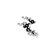 CCOC(=O)Cc1ccc(F)cc1OCc1cc(-c2ccnc(CN[S@@+]([O-])C(C)(C)C)c2F)c2ccn(C(C)C)c2c1